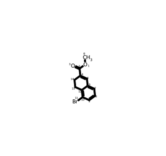 COC(=O)C1=Cc2cccc(Br)c2CC1